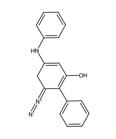 [N-]=[N+]=C1CC(Nc2ccccc2)=CC(O)=C1c1ccccc1